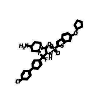 NC1CCN(C(=O)[C@@H](NS(=O)(=O)c2cc3ccc(OC4CCCC4)cc3s2)C(F)(F)c2ccc(-c3ccc(Cl)cc3)cc2)CC1